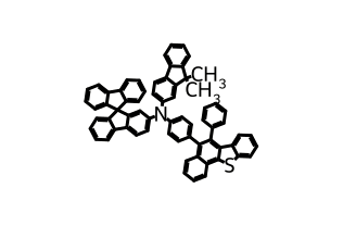 CC1(C)c2ccccc2-c2ccc(N(c3ccc(-c4c(-c5ccccc5)c5c6ccccc6sc5c5ccccc45)cc3)c3ccc4c(c3)C3(c5ccccc5-c5ccccc53)c3ccccc3-4)cc21